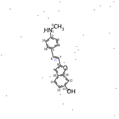 CNc1ccc(/C=C/c2cc3ccc(O)cc3o2)cc1